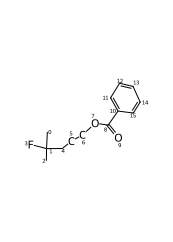 CC(C)(F)CCCOC(=O)c1ccccc1